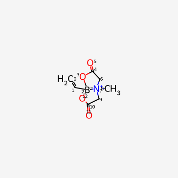 C=C[B-]12OC(=O)C[N+]1(C)CC(=O)O2